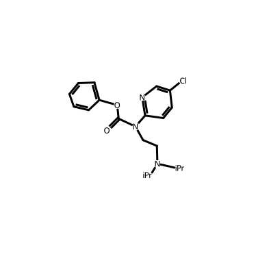 CC(C)N(CCN(C(=O)Oc1ccccc1)c1ccc(Cl)cn1)C(C)C